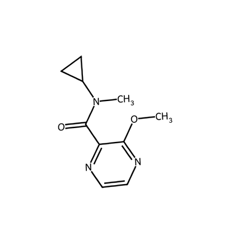 COc1nccnc1C(=O)N(C)C1CC1